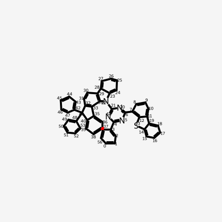 c1ccc(-c2nc(-c3cccc4c3sc3ccccc34)nc(-n3c4ccccc4c4ccc5c(c43)-c3ccccc3C5(c3ccccc3)c3ccccc3)n2)cc1